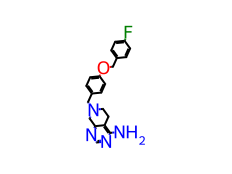 Nc1ncnc2c1CCN(Cc1ccc(OCc3ccc(F)cc3)cc1)C2